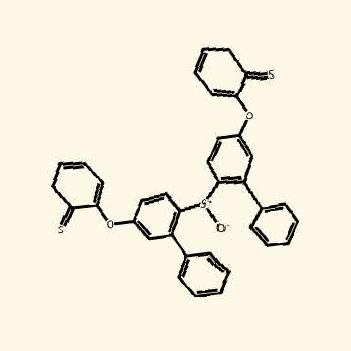 [O-][S+](c1ccc(OC2=CC=CCC2=S)cc1-c1ccccc1)c1ccc(OC2=CC=CCC2=S)cc1-c1ccccc1